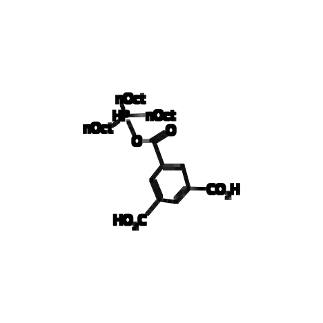 CCCCCCCC[PH](CCCCCCCC)(CCCCCCCC)OC(=O)c1cc(C(=O)O)cc(C(=O)O)c1